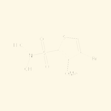 COc1c(Br)csc1S(=O)(=O)N(C)C